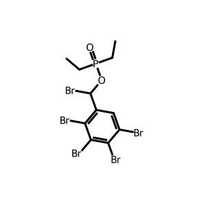 CCP(=O)(CC)OC(Br)c1cc(Br)c(Br)c(Br)c1Br